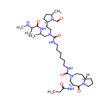 CCC(=O)N[C@@H]1CN(C(=O)NCCCCCCNC(=O)N(CC[C@H]2CCC(C)N2C=O)CC(C)NC(=O)C(C)NC)CC[C@@H]2CCCN2C1=O